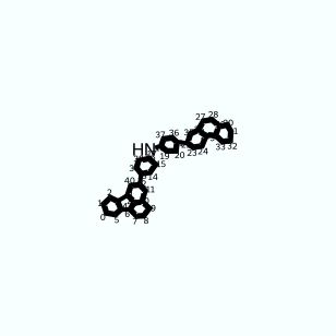 c1ccc2c(c1)-c1cccc3cc(-c4ccc(Nc5ccc(-c6ccc7c(ccc8ccccc87)c6)cc5)cc4)cc-2c13